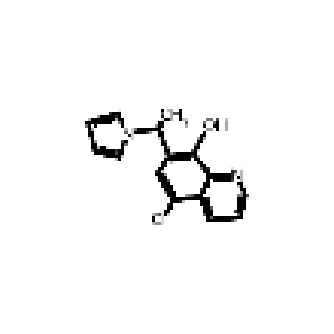 CC(c1cc(Cl)c2cccnc2c1O)n1cccc1